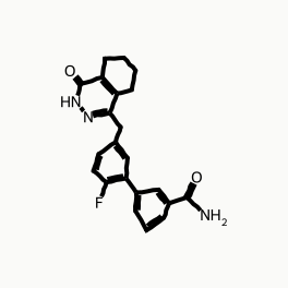 NC(=O)c1cccc(-c2cc(Cc3n[nH]c(=O)c4c3CCCC4)ccc2F)c1